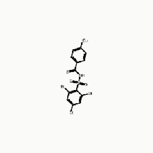 CCc1cc(CC)c(S(=O)(=O)NC(=O)c2ccc(C(C)(C)C)cc2)c(CC)c1